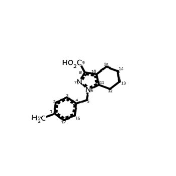 Cc1ccc(Cn2nc(C(=O)O)c3c2CCCC3)cc1